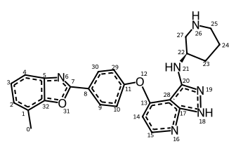 Cc1cccc2nc(-c3ccc(Oc4ccnc5[nH]nc(N[C@@H]6CCCNC6)c45)cc3)oc12